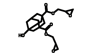 O=C(OCC1CO1)C12CC3CC(O)(C1)CC(C(=O)OCC1CO1)(C3)C2